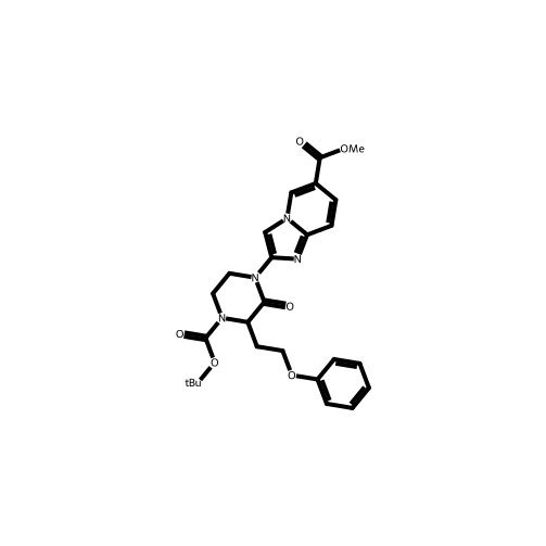 COC(=O)c1ccc2nc(N3CCN(C(=O)OC(C)(C)C)C(CCOc4ccccc4)C3=O)cn2c1